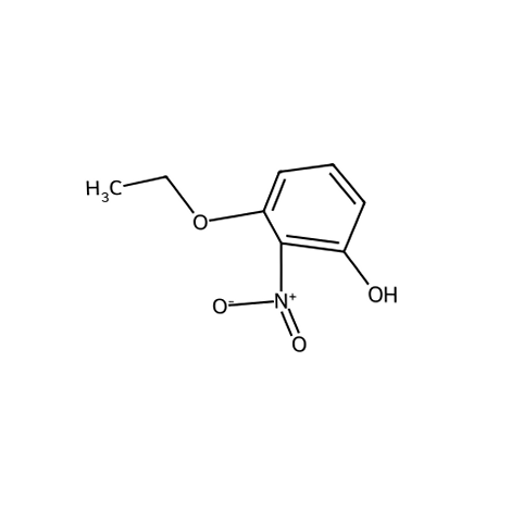 CCOc1cccc(O)c1[N+](=O)[O-]